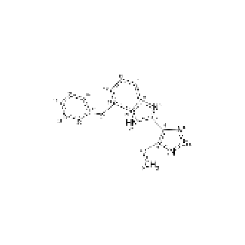 C=Cc1nsnc1-c1nc2cccc(Cc3cccnc3)c2[nH]1